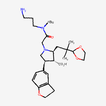 CCCCN(CCCN)C(=O)CN1C[C@H](c2ccc3c(c2)CCO3)[C@@H](C(=O)O)[C@@H]1CC(C)(C)C1OCCO1